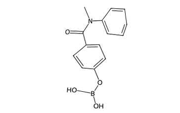 CN(C(=O)c1ccc(OB(O)O)cc1)c1ccccc1